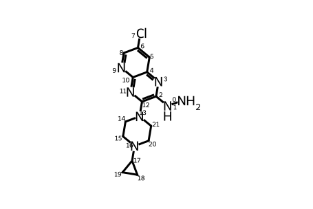 NNc1nc2cc(Cl)cnc2nc1N1CCN(C2CC2)CC1